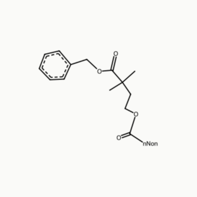 CCCCCCCCCC(=O)OCCC(C)(C)C(=O)OCc1ccccc1